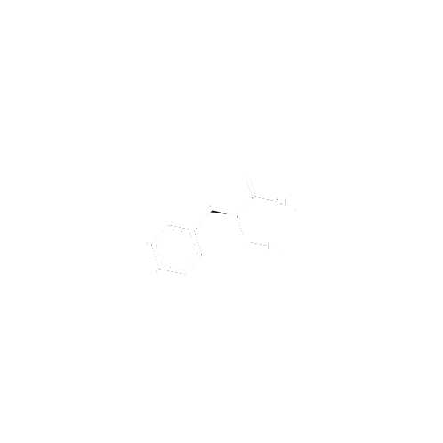 NC(=O)[C@H](Cc1ccccc1)SF